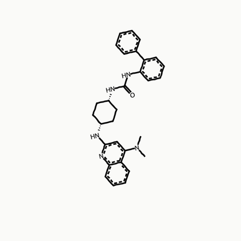 CN(C)c1cc(N[C@H]2CC[C@@H](NC(=O)Nc3ccccc3-c3ccccc3)CC2)nc2ccccc12